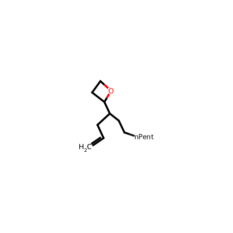 C=CCC(CCCCCCC)[C]1CCO1